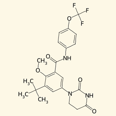 COc1c(C(=O)Nc2ccc(OC(F)(F)F)cc2)cc(N2CCC(=O)NC2=O)cc1C(C)(C)C